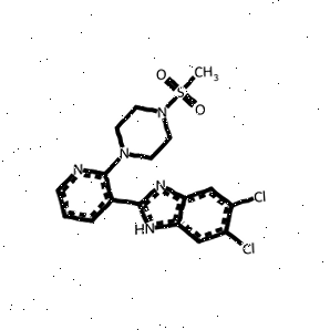 CS(=O)(=O)N1CCN(c2ncccc2-c2nc3cc(Cl)c(Cl)cc3[nH]2)CC1